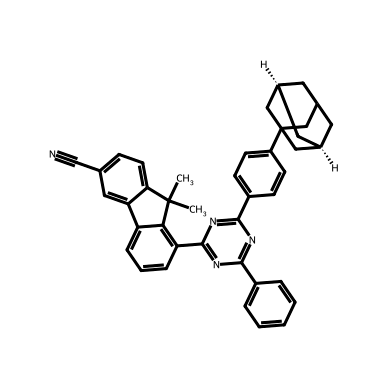 CC1(C)c2ccc(C#N)cc2-c2cccc(-c3nc(-c4ccccc4)nc(-c4ccc(C56CC7C[C@H](C5)C[C@@H](C7)C6)cc4)n3)c21